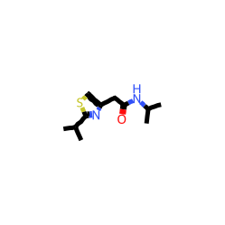 CC(C)NC(=O)Cc1csc(C(C)C)n1